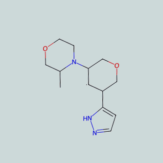 CC1COCCN1C1[CH]C(c2ccn[nH]2)COC1